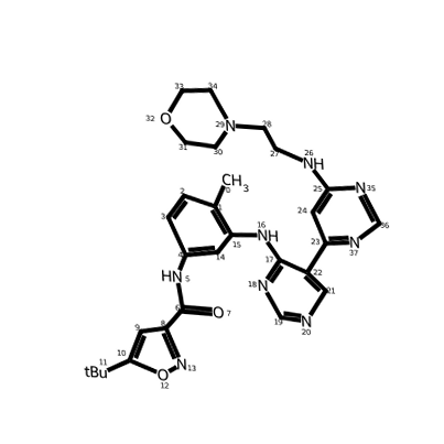 Cc1ccc(NC(=O)c2cc(C(C)(C)C)on2)cc1Nc1ncncc1-c1cc(NCCN2CCOCC2)ncn1